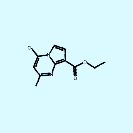 CCOC(=O)c1ccn2c(Cl)cc(C)nc12